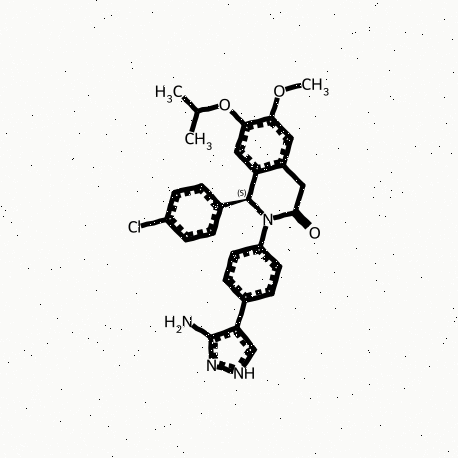 COc1cc2c(cc1OC(C)C)[C@H](c1ccc(Cl)cc1)N(c1ccc(-c3c[nH]nc3N)cc1)C(=O)C2